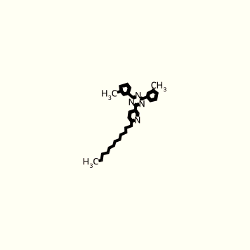 CCCCCCCCCCCCc1ccc(-c2nc(-c3cccc(C)c3)nc(-c3cccc(C)c3)n2)cn1